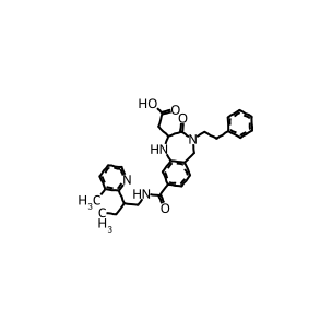 CCC(CNC(=O)c1ccc2c(c1)NC(CC(=O)O)C(=O)N(CCc1ccccc1)C2)c1ncccc1C